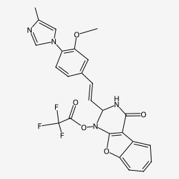 COc1cc(C=CC2NC(=O)c3c(oc4ccccc34)N2OC(=O)C(F)(F)F)ccc1-n1cnc(C)c1